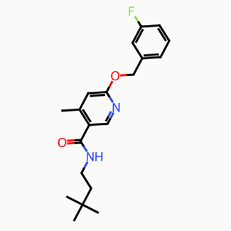 Cc1cc(OCc2cccc(F)c2)ncc1C(=O)NCCC(C)(C)C